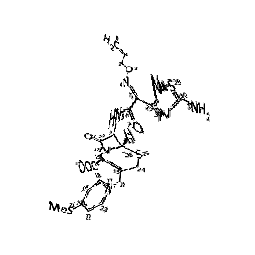 C=CCON=C(C(=O)NC1C(=O)N2C(C(=O)[O-])=C(C[n+]3ccc(SC)cc3)CS[C@@H]12)c1nsc(N)n1